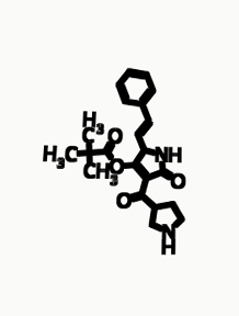 CC(C)(C)C(=O)OC1=C(C(=O)C2CCNC2)C(=O)NC1C=Cc1ccccc1